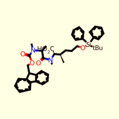 CC(C(=O)N(C)[C@H](C(=O)O)[C@H](C)CCCO[Si](c1ccccc1)(c1ccccc1)C(C)(C)C)N(C)C(=O)OCC1c2ccccc2-c2ccccc21